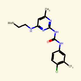 CNCCNc1cc(C)nc(NC(=O)Nc2ccc(Cl)c(C(F)(F)F)c2)n1